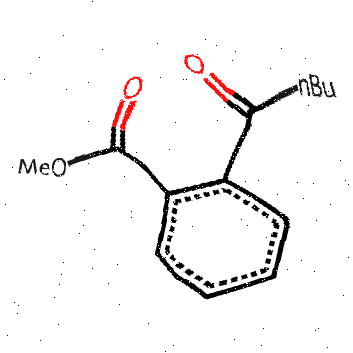 CCCCC(=O)c1ccccc1C(=O)OC